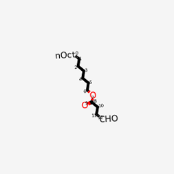 CCCCCCCCCCCCCCOC(=O)CCC=O